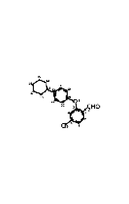 O=Cc1ccc(Cl)cc1Oc1ccc(C2CCCCC2)cc1